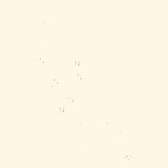 COc1ccc(-c2cnn(-c3nnc4c(n3)[nH]c3ccc(C)cc34)c2)cc1